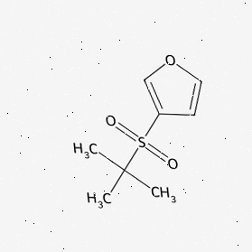 CC(C)(C)S(=O)(=O)c1ccoc1